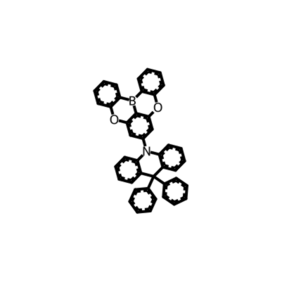 c1ccc(C2(c3ccccc3)c3ccccc3N(c3cc4c5c(c3)Oc3ccccc3B5c3ccccc3O4)c3ccccc32)cc1